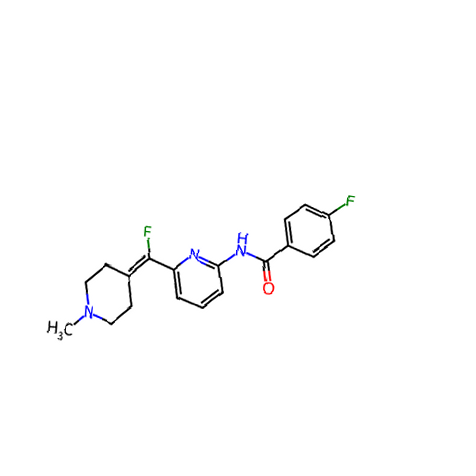 CN1CCC(=C(F)c2cccc(NC(=O)c3ccc(F)cc3)n2)CC1